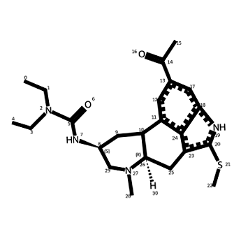 CCN(CC)C(=O)N[C@H]1CC2c3cc(C(C)=O)cc4[nH]c(SC)c(c34)C[C@H]2N(C)C1